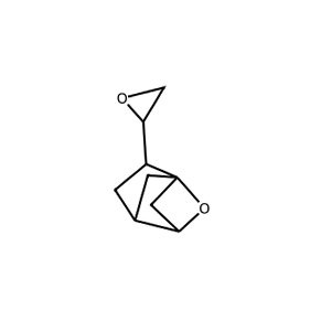 C1OC1C1CC2CC13CC2O3